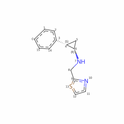 c1ccc([C@@H]2C[C@H]2NCc2nccs2)cc1